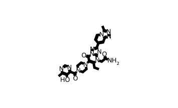 CCc1c(N2CCN(C(=O)c3ncnc(C)c3O)CC2)c(=O)n2nc(-c3ccn4c(C)nnc4c3)nc2n1CC(N)=O